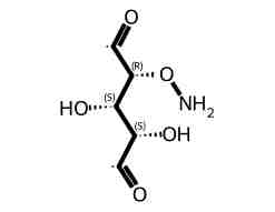 NO[C@@H]([C]=O)[C@@H](O)[C@H](O)[C]=O